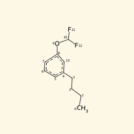 CCCCc1c[c]cc(OC(F)F)c1